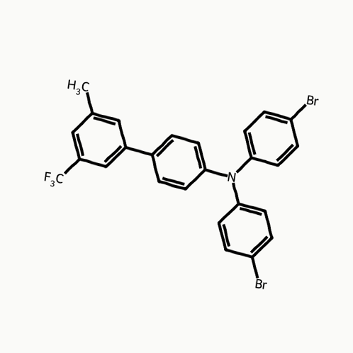 Cc1cc(-c2ccc(N(c3ccc(Br)cc3)c3ccc(Br)cc3)cc2)cc(C(F)(F)F)c1